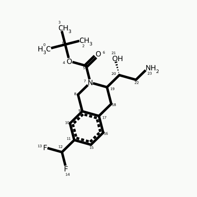 CC(C)(C)OC(=O)N1Cc2cc(C(F)F)ccc2CC1[C@H](O)CN